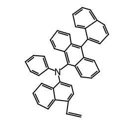 C=Cc1ccc(N(c2ccccc2)c2c3ccccc3c(-c3cccc4ccccc34)c3ccccc23)c2ccccc12